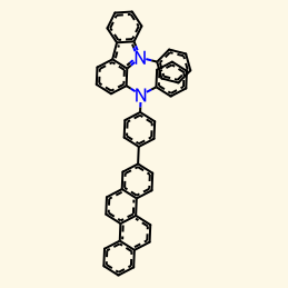 c1ccc(N(c2ccc(-c3ccc4c(ccc5c6ccccc6ccc45)c3)cc2)c2cccc3c4ccccc4n(-c4ccccc4)c23)cc1